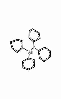 c1ccc(P(c2ccccc2)[As](c2ccccc2)c2ccccc2)cc1